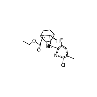 CCOC(=O)[C@H]1C2CCC(CC2)[C@@H]1Nc1nc(Cl)c(C)cc1F